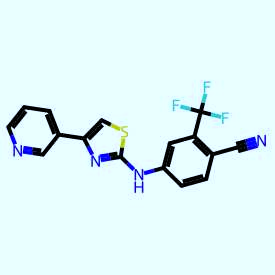 N#Cc1ccc(Nc2nc(-c3cccnc3)cs2)cc1C(F)(F)F